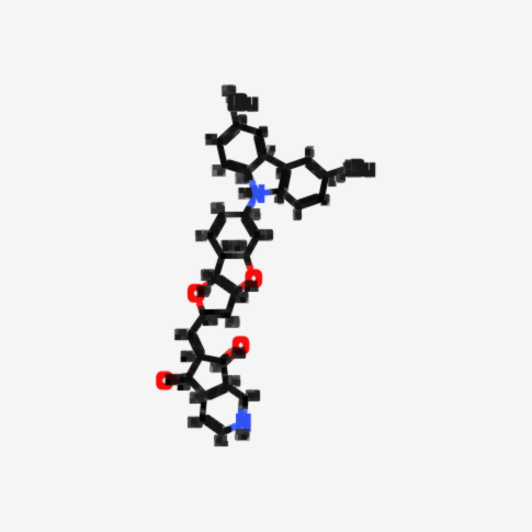 CC(C)(C)c1ccc2c(c1)c1cc(C(C)(C)C)ccc1n2-c1ccc2c(c1)oc1cc(/C=C3/C(=O)c4ccncc4C3=O)oc12